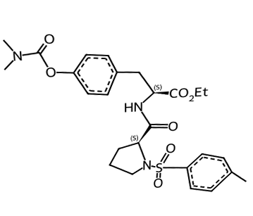 CCOC(=O)[C@H](Cc1ccc(OC(=O)N(C)C)cc1)NC(=O)[C@@H]1CCCN1S(=O)(=O)c1ccc(C)cc1